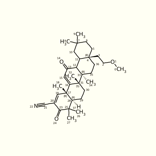 COCC[C@]12CCC(C)(C)CC1C1C(=O)C=C3[C@@]4(C)C=C(C#N)C(=O)C(C)(C)[C@@H]4CC[C@@]3(C)[C@]1(C)CC2